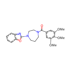 COc1cc(C(=O)N2CCCN(c3nc4ccccc4o3)CC2)cc(OC)c1OC